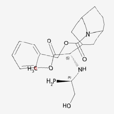 COC(=O)[C@@H](N[C@H](P)CO)C1CC2CCC(C1)N2C(=O)OCc1ccccc1